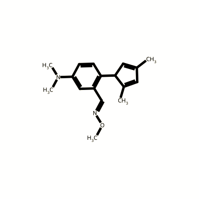 CON=Cc1cc(N(C)C)ccc1C1C=C(C)C=C1C